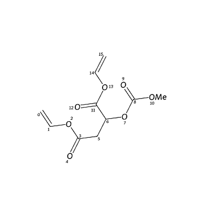 C=COC(=O)CC(OC(=O)OC)C(=O)OC=C